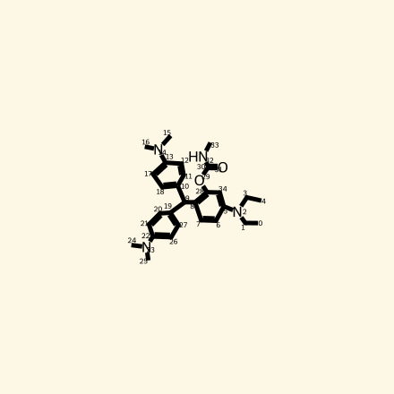 CCN(CC)c1ccc(C(c2ccc(N(C)C)cc2)c2ccc(N(C)C)cc2)c(OC(=O)NC)c1